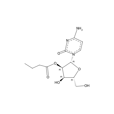 CCCC(=O)O[C@@H]1[C@H](O)[C@@H](CO)O[C@H]1n1ccc(N)nc1=O